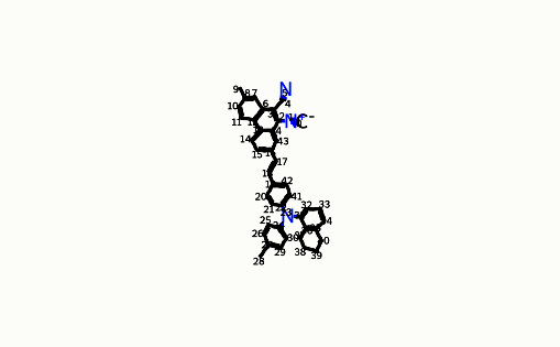 [C-]#[N+]c1c(C#N)c2cc(C)ccc2c2ccc(C=Cc3ccc(N(c4ccc(C)cc4)c4cccc5c4CCCC5)cc3)cc12